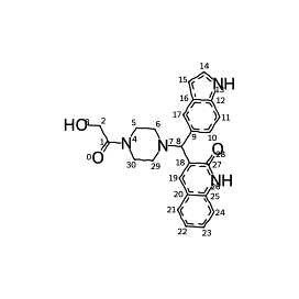 O=C(CO)N1CCN(C(c2ccc3[nH]ccc3c2)c2cc3ccccc3[nH]c2=O)CC1